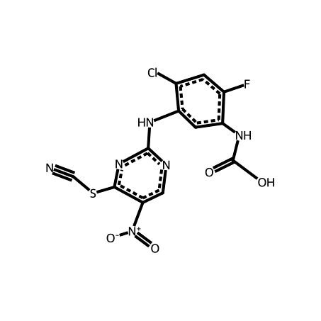 N#CSc1nc(Nc2cc(NC(=O)O)c(F)cc2Cl)ncc1[N+](=O)[O-]